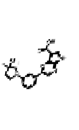 CC1(C)CCN(c2cccc(-c3cnc4[nH]cc(C(=O)O)c4n3)c2)C1